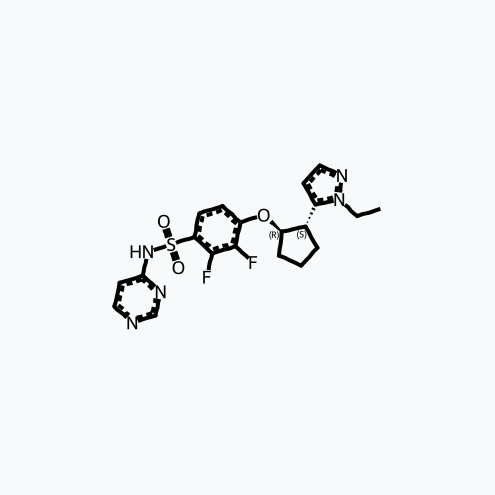 CCn1nccc1[C@@H]1CCC[C@H]1Oc1ccc(S(=O)(=O)Nc2ccncn2)c(F)c1F